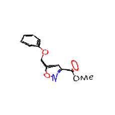 COC(=O)c1cc(COc2ccccc2)on1